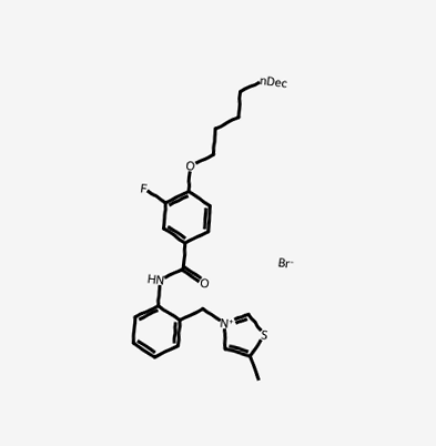 CCCCCCCCCCCCCCOc1ccc(C(=O)Nc2ccccc2C[n+]2csc(C)c2)cc1F.[Br-]